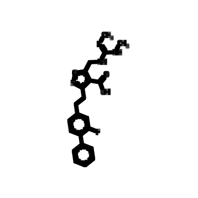 CN=C(NC)NCc1onc(CCc2ccc(-c3ccccc3)c(F)c2)c1C(=O)O